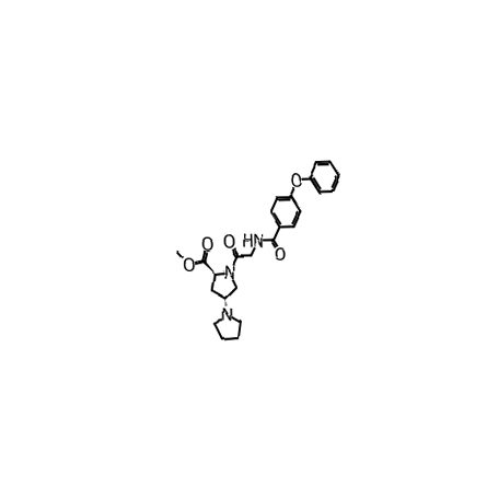 COC(=O)[C@@H]1C[C@@H](N2CCCC2)CN1C(=O)CNC(=O)c1ccc(Oc2ccccc2)cc1